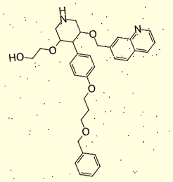 OCCOC1CNCC(OCc2ccc3cccnc3c2)C1c1ccc(OCCCOCc2ccccc2)cc1